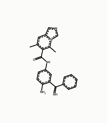 Cc1cc2cncn2c(C)c1C(=O)Nc1ccc(N)c(C(=N)c2ccccc2)c1